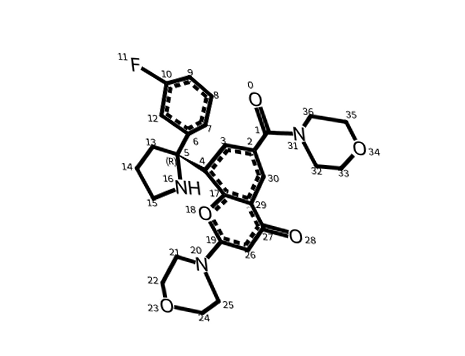 O=C(c1cc([C@]2(c3cccc(F)c3)CCCN2)c2oc(N3CCOCC3)cc(=O)c2c1)N1CCOCC1